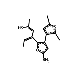 Bc1cc(-c2cc(C)sc2C)c(C(/C=C(/C)S)=C\C)o1